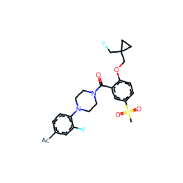 CC(=O)c1ccc(N2CCN(C(=O)c3cc(S(C)(=O)=O)ccc3OCC3(CF)CC3)CC2)c(F)c1